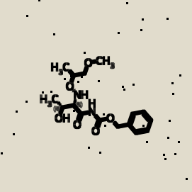 COCC(C)ON[C@H](C(=O)NC(=O)OCc1ccccc1)[C@@H](C)O